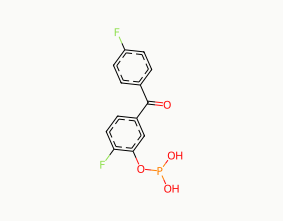 O=C(c1ccc(F)cc1)c1ccc(F)c(OP(O)O)c1